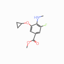 CNc1c(F)cc(C(=O)OC)cc1OC1CC1